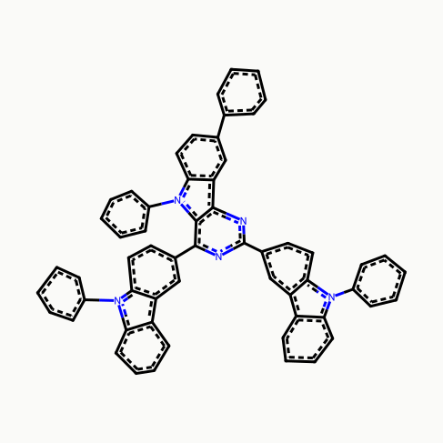 c1ccc(-c2ccc3c(c2)c2nc(-c4ccc5c(c4)c4ccccc4n5-c4ccccc4)nc(-c4ccc5c(c4)c4ccccc4n5-c4ccccc4)c2n3-c2ccccc2)cc1